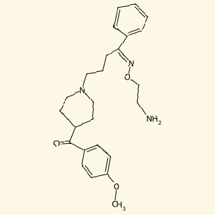 COc1ccc(C(=O)C2CCN(CCCC(=NOCCN)c3ccccc3)CC2)cc1